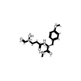 CNC(=O)[C@H](Cc1ccc(OC)cc1)NC(=O)CCN(O)C=O